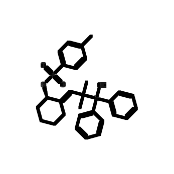 Cc1ccc(S(=O)(=O)O[C@@H]2CCCC/C2=C\C(C)(C)[Si](O)(c2ccccc2)c2ccccc2)cc1